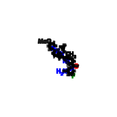 COC1CCN(c2ccc3cc(-c4nn5cc(C(=O)N6C[C@H](N)C[C@@H](F)C6)ccc5c4C)n(CC4CC4)c3n2)CC1